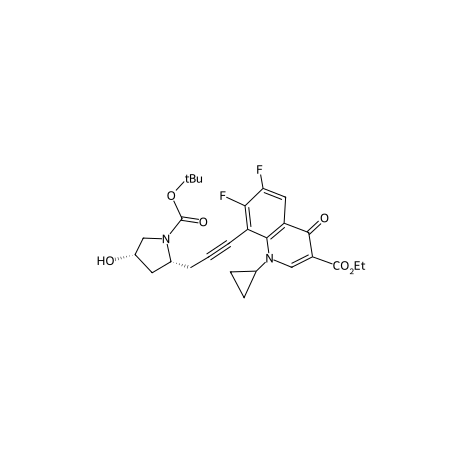 CCOC(=O)c1cn(C2CC2)c2c(C#CC[C@@H]3C[C@H](O)CN3C(=O)OC(C)(C)C)c(F)c(F)cc2c1=O